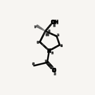 CC(=O)N1CC[C@](C)(O)C1